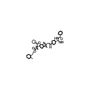 Cc1ccccc1CCOC(=O)N(C)[C@@](C)(C(=O)N1CCCC1)c1ccc2c(c1)nc(CNc1ccc(C(=N)NC(=O)c3ccccc3)cc1)n2C